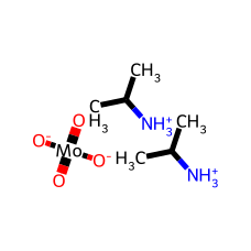 CC(C)[NH3+].CC(C)[NH3+].[O]=[Mo](=[O])([O-])[O-]